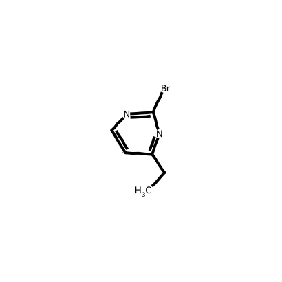 CCc1[c]cnc(Br)n1